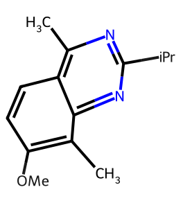 COc1ccc2c(C)nc(C(C)C)nc2c1C